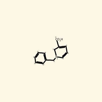 O=C(O)C1=CC=CN(Cc2ccccc2)C1